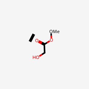 C=C.COOC(=O)CO